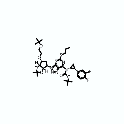 CCCSc1nc(N(C(=O)OC(C)(C)C)[C@@H]2C[C@H]2c2ccc(F)c(F)c2)c2nnn([C@@H]3C[C@H](OCCOC(C)(C)C)[C@H]4OC(C)(C)O[C@H]43)c2n1